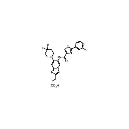 Cc1cc(-c2nc(C(=O)Nc3cn4cc(CCC(=O)O)nc4cc3N3CCC(F)(F)CC3)co2)ccn1